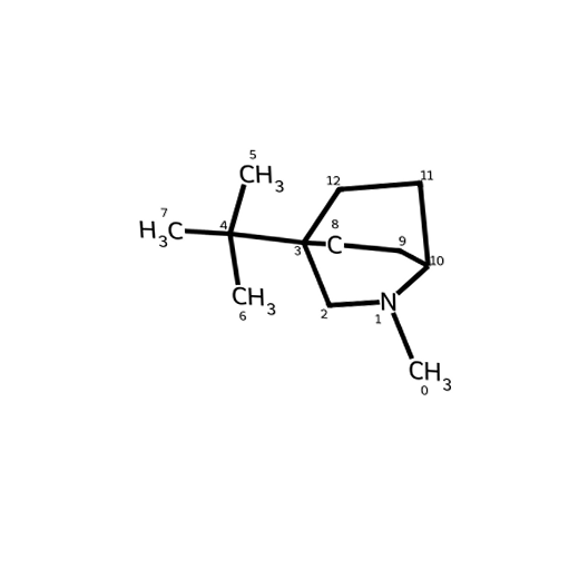 CN1CC2(C(C)(C)C)CCC1CC2